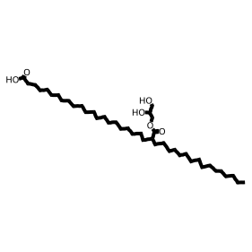 CCCCCCCCCCCCCCCCC(CCCCCCCCCCCCCCCCCCCCCC(=O)O)C(=O)OCC(O)CO